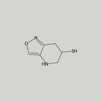 SC1CNc2conc2C1